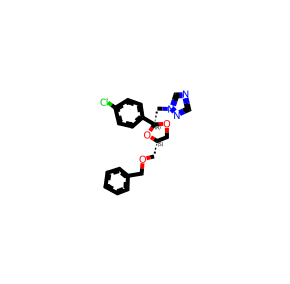 Clc1ccc([C@@]2(Cn3cncn3)OC[C@H](COCc3ccccc3)O2)cc1